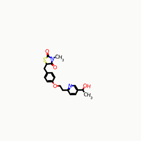 CC(O)c1ccc(CCOc2ccc(CC3SC(=O)N(C)C3=O)cc2)nc1